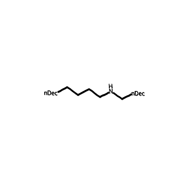 CCCCCCCCCCCCCCNCCCCCCCCCCC